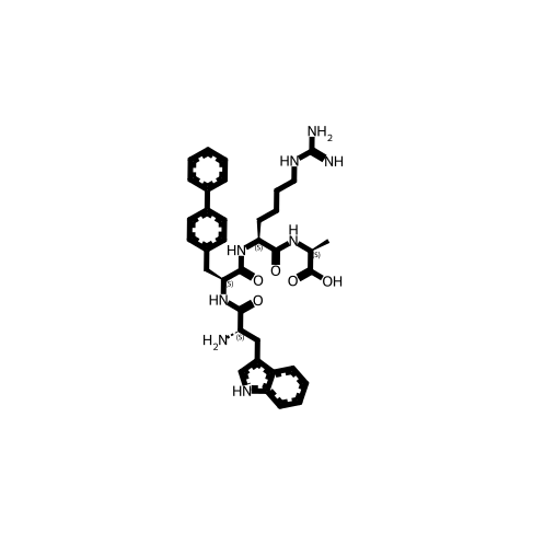 C[C@H](NC(=O)[C@H](CCCCNC(=N)N)NC(=O)[C@H](Cc1ccc(-c2ccccc2)cc1)NC(=O)[C@@H](N)Cc1c[nH]c2ccccc12)C(=O)O